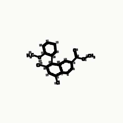 COC(=O)c1ccc2c(Cl)cc(Cl)c(-c3ccccc3OC)c2c1